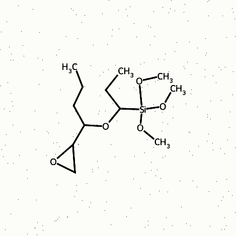 CCCC(OC(CC)[Si](OC)(OC)OC)C1CO1